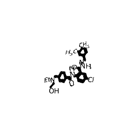 CCN(CCO)Cc1ccc(C(=O)Nc2ccc(Cl)cc2C(=O)N/N=C/c2ccc(C)c(C)c2)cc1